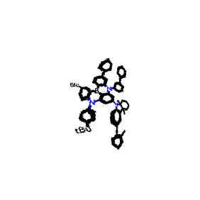 Cc1ccccc1-c1ccc2c(c1)C1(C)CCCCC1(C)N2c1cc2c3c(c1)N(c1cccc(-c4ccccc4)c1)c1cc(-c4ccccc4)ccc1B3c1cc(C(C)(C)C)ccc1N2c1ccc(C(C)(C)C)cc1